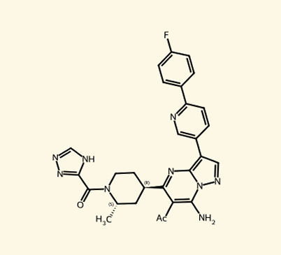 CC(=O)c1c([C@@H]2CCN(C(=O)c3nnc[nH]3)[C@@H](C)C2)nc2c(-c3ccc(-c4ccc(F)cc4)nc3)cnn2c1N